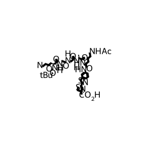 CC(=O)NCCCCC(NC(=O)[C@H](C)NC(=O)CNC(=O)CNC(=O)[C@H](CCCCN(C)C)NC(=O)OC(C)(C)C)C(=O)Nc1ccc2nc(C3=NC(C(=O)O)CS3)sc2c1